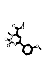 COC(=O)C1=CC(c2cccc(OC)c2)=NS(=O)(=O)N1C